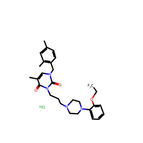 Cc1ccc(Cn2cc(C)c(=O)n(CCCN3CCN(c4ccccc4OCC(F)(F)F)CC3)c2=O)c(C)c1.Cl